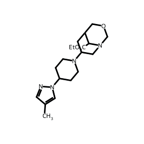 CCOC(=O)C1C2COCN1CC(N1CCC(n3cc(C)cn3)CC1)C2